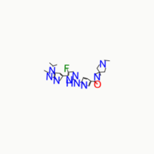 CCN1CCC2(CC1)CN(C(=O)c1ccc(Nc3ncc(F)c(-c4cnc5nc(C)n(C(C)C)c5c4)n3)nc1)C2